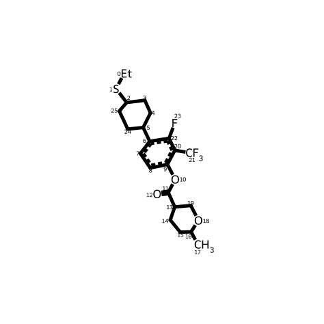 CCSC1CCC(c2ccc(OC(=O)C3CCC(C)OC3)c(C(F)(F)F)c2F)CC1